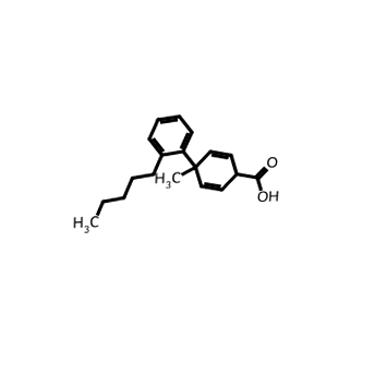 CCCCCc1ccccc1C1(C)C=CC(C(=O)O)C=C1